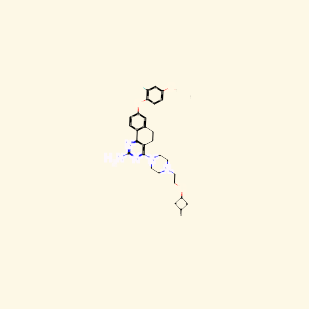 Nc1nc2c(c(N3CCN(CCOC4CC(C(=O)O)C4)CC3)n1)CCc1cc(Oc3ccc(OC(F)(F)F)cc3F)ccc1-2